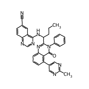 CCCC(Nc1ncnc2ccc(C#N)cc12)c1nc2cccc(-c3cnc(C)nc3)c2c(=O)n1-c1ccccc1